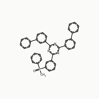 CP(=O)(c1ccccc1)c1cccc(-c2nc(-c3cccc(-c4ccccc4)c3)nc(-c3cccc(-c4ccccc4)c3)n2)c1